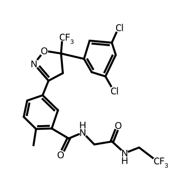 Cc1ccc(C2=NOC(c3cc(Cl)cc(Cl)c3)(C(F)(F)F)C2)cc1C(=O)NCC(=O)NCC(F)(F)F